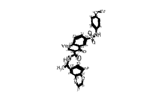 CCOc1ccc(NS(=O)(=O)c2ccc3[nH]cc(C(=O)NC(C)c4ccc5c(c4)OCCO5)c(=O)c3c2)cc1